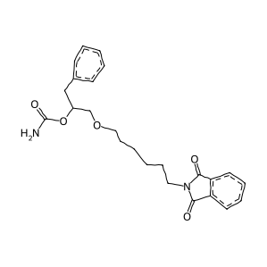 NC(=O)OC(COCCCCCCN1C(=O)c2ccccc2C1=O)Cc1ccccc1